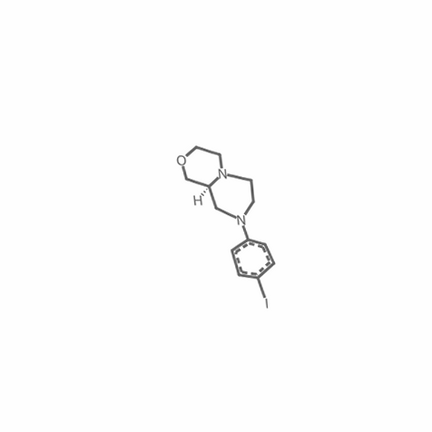 Ic1ccc(N2CCN3CCOC[C@@H]3C2)cc1